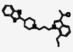 CC(=O)c1cn(CCCN2CCC(c3nc4ccccc4s3)CC2)c2c(CI)cccc12